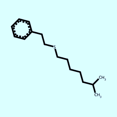 CC(C)CCCCCSCCc1ccccc1